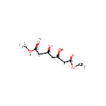 COC(=O)CC(=O)CC(=O)CC(=O)OC